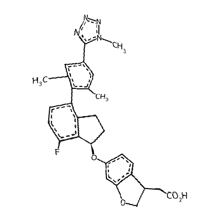 Cc1cc(-c2nnnn2C)cc(C)c1-c1ccc(F)c2c1CC[C@H]2Oc1ccc2c(c1)OCC2CC(=O)O